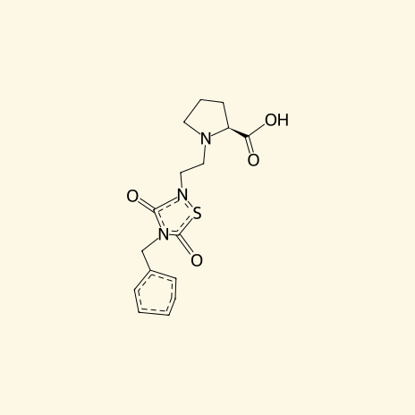 O=C(O)[C@@H]1CCCN1CCn1sc(=O)n(Cc2ccccc2)c1=O